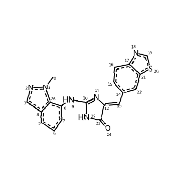 Cn1ncc2cccc(NC3=N/C(=C\c4ccc5ncsc5c4)C(=O)N3)c21